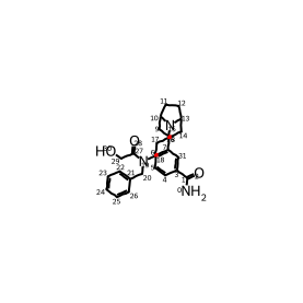 NC(=O)c1cccc(C2CC3CCC(C2)N3CCCN(Cc2ccccc2)C(=O)CO)c1